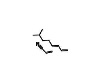 C=CC#N.C=CC=CCCC(C)C